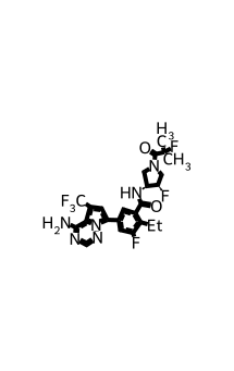 CCc1c(F)cc(-c2cc(C(F)(F)F)c3c(N)ncnn23)cc1C(=O)N[C@@H]1CN(C(=O)C(C)(C)F)C[C@@H]1F